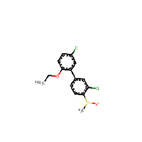 C[S+]([O-])c1ccc(-c2cc(Cl)ccc2OCC(=O)O)cc1Cl